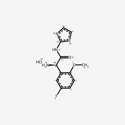 COc1ccc(F)cc1[C@@H](N)C(=O)Nc1nccs1.Cl